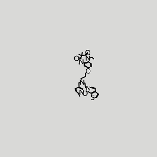 CCN1C(=O)C(C)(C)C(=O)N(C)c2cc(OCCCN(CCn3ccc4ccsc4c3=O)Cc3ccc(C)nc3)ccc21